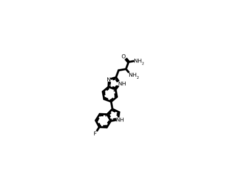 NC(=O)C(N)Cc1nc2ccc(-c3c[nH]c4cc(F)ccc34)cc2[nH]1